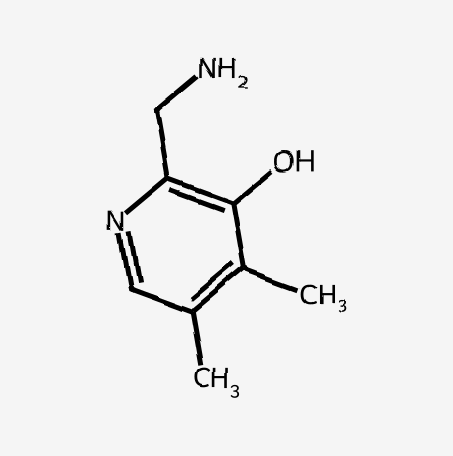 Cc1cnc(CN)c(O)c1C